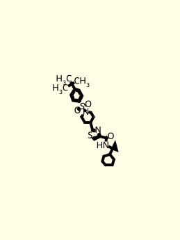 CC(C)(C)c1ccc(S(=O)(=O)N2CCC(c3nc(C(=O)NC4(C5CCCCC5)CC4)cs3)CC2)cc1